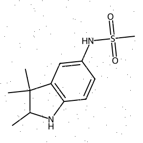 CC1Nc2ccc(NS(C)(=O)=O)cc2C1(C)C